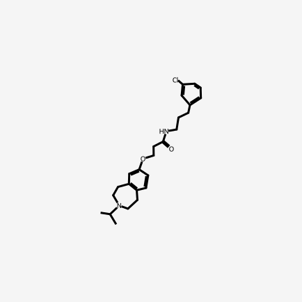 CC(C)N1CCc2ccc(OCCC(=O)NCCCc3cccc(Cl)c3)cc2CC1